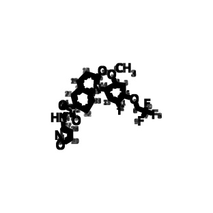 COc1cc(OCC(F)(F)F)c(F)cc1-n1c(=O)ccc2cc(S(=O)(=O)Nc3ccon3)ccc21